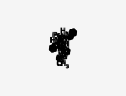 Cc1ccnc(S[C@@H]2CCNC(C(=O)N(C[C@@H](O)[C@H](Cc3ccccc3)NC(=O)[C@@H](NC(=O)c3ccc4ccccc4n3)C(C)C)C(C)(C)C)C2)n1